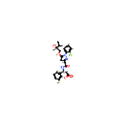 CC(C)[C@@](C)(O)COc1cc(C(=O)N[C@@H](CC(=O)O)c2cccc(F)c2)nn1-c1ccccc1F